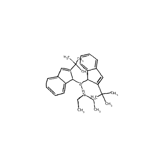 CC[SiH](CC)[Zr]([CH]1C(C(C)(C)C)=Cc2ccccc21)[CH]1C(C(C)(C)C)=Cc2ccccc21